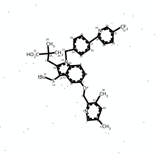 Cc1cnc(COc2ccc3c(c2)c(SC(C)(C)C)c(CC(C)(C)C(=O)O)n3Cc2ccc(-c3ccc(C(F)(F)F)cn3)cc2)c(C)c1